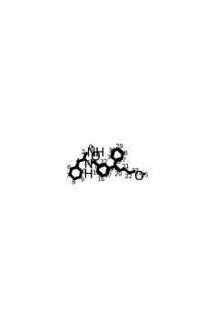 CNCC(CC1CCCCC1)NC(=O)c1cccc(C(=CCCCOC)c2ccccc2)c1